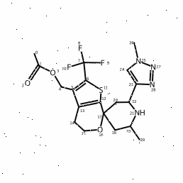 CC(=O)OCc1c(C(F)(F)F)sc2c1CCOC21CC(C)NC(c2cn(C)nn2)C1